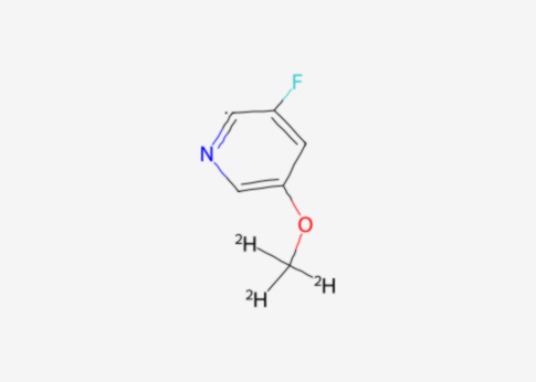 [2H]C([2H])([2H])Oc1cn[c]c(F)c1